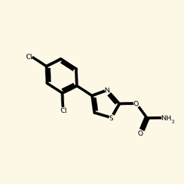 NC(=O)Oc1nc(-c2ccc(Cl)cc2Cl)cs1